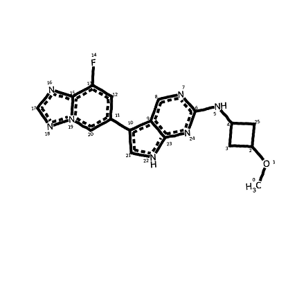 COC1CC(Nc2ncc3c(-c4cc(F)c5ncnn5c4)c[nH]c3n2)C1